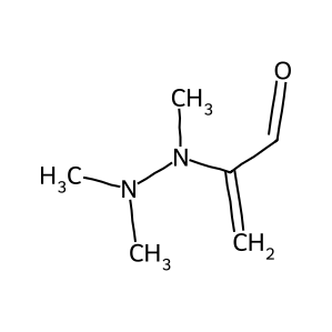 C=C(C=O)N(C)N(C)C